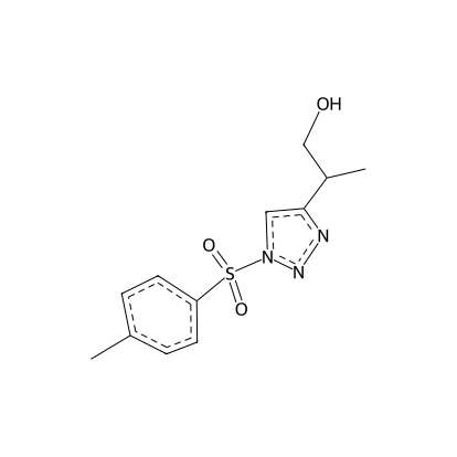 Cc1ccc(S(=O)(=O)n2cc(C(C)CO)nn2)cc1